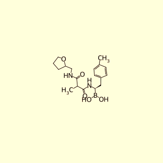 Cc1ccc(C[C@H](NC(=O)C(C)C(=O)NCC2CCCO2)B(O)O)cc1